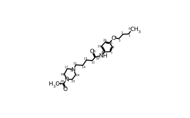 CCCCOc1ccc(NC(=O)CCCCN2CCN(C(C)=O)CC2)cc1